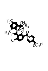 Cc1cc(C(F)(F)F)cc2c1N(C(=O)c1c(Cl)ccc(C(=O)N3CCC(CC(=O)O)CC3)c1Cl)NC2(C)C